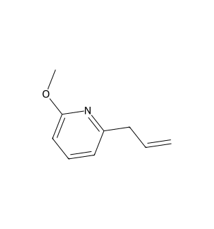 C=CCc1cccc(OC)n1